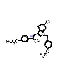 N#C/C(=C\c1cn(Cc2ccc(OC(F)(F)F)cc2)c2cc(Cl)ccc12)c1ccc(C(=O)O)cc1